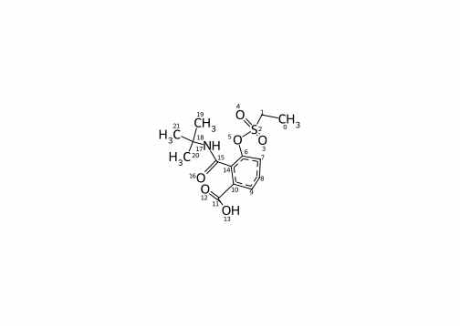 CCS(=O)(=O)Oc1cccc(C(=O)O)c1C(=O)NC(C)(C)C